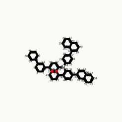 c1ccc(-c2cccc(-c3ccc(N(c4ccc(-c5cccc6ccccc56)cc4)c4cc(-c5ccc6ccccc6c5)ccc4-c4ccccc4)cc3)c2)cc1